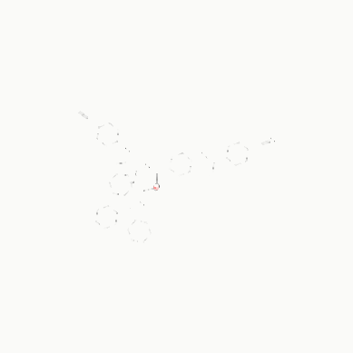 C#Cc1ccc(NC(=O)[C@H](CC(=O)NC(c2ccccc2)(c2ccccc2)c2ccccc2)NC(=O)c2ccc(NC(=O)c3ccc(C#N)cc3)cc2)cc1